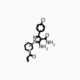 C=CC(=O)N1CCC[C@@H](n2nc(-c3ccc(Cl)cc3)c(C(N)=O)c2N)C1